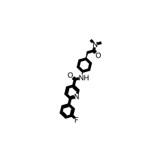 CN(C)C(=O)C[C@H]1CC[C@H](NC(=O)c2ccc(-c3cccc(F)c3)nc2)CC1